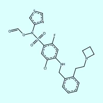 O=CON(c1cscn1)S(=O)(=O)c1cc(Cl)c(NCc2ccccc2CCN2CCC2)cc1F